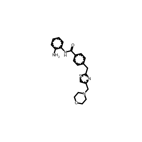 Nc1ccccc1NC(=O)c1ccc(Cc2nc(CN3CCOCC3)cs2)cc1